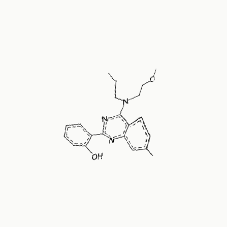 CCCN(CCOC)c1nc(-c2ccccc2O)nc2cc(C)ccc12